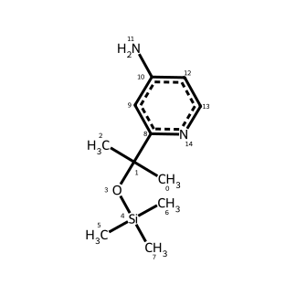 CC(C)(O[Si](C)(C)C)c1cc(N)ccn1